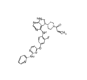 C=CC(=O)N1CCC(c2c[nH]c3ncnc(Nc4ccc(Oc5ccnc(Nc6ccccn6)n5)cc4F)c23)CC1